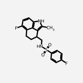 Cc1[nH]c2ccc(F)c3c2c1C(CNS(=O)(=O)c1ccc(F)cc1)CC3